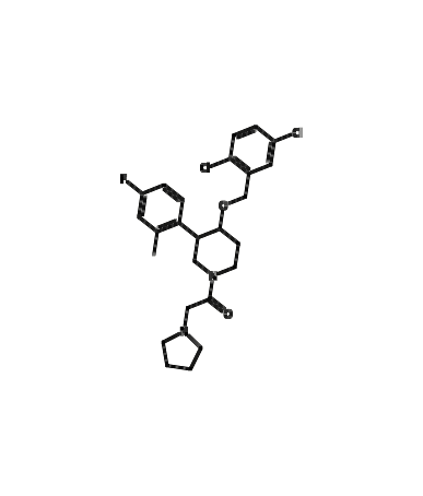 Cc1cc(F)ccc1C1CN(C(=O)CN2CCCC2)CCC1OCc1cc(Cl)ccc1Cl